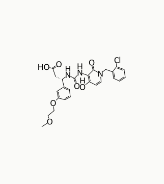 COCCOc1cccc([C@H](CC(=O)O)NC(=O)Nc2c(O)ccn(Cc3ccccc3Cl)c2=O)c1